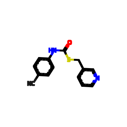 N#Cc1ccc(NC(=O)SCc2cccnc2)cc1